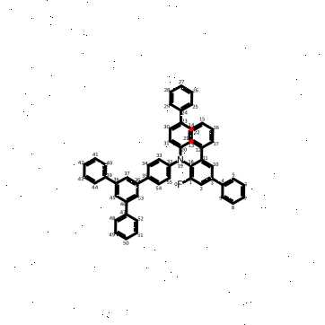 Fc1cc(-c2ccccc2)cc(-c2ccccc2)c1N(c1ccc(-c2ccccc2)cc1)c1ccc(-c2cc(-c3ccccc3)cc(-c3ccccc3)c2)cc1